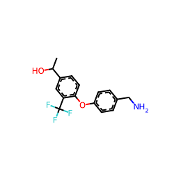 CC(O)c1ccc(Oc2ccc(CN)cc2)c(C(F)(F)F)c1